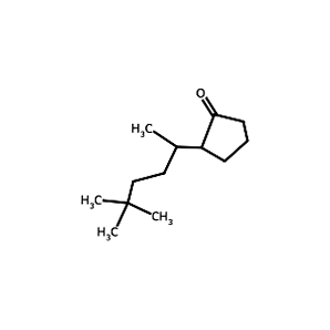 CC(CCC(C)(C)C)C1CCCC1=O